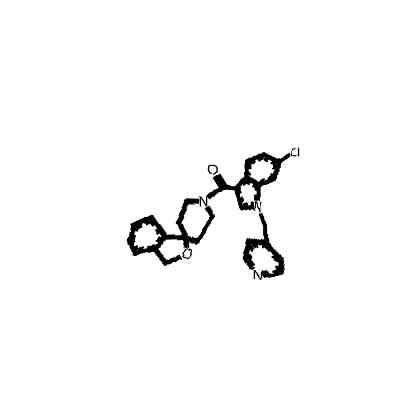 O=C(c1cn(Cc2ccncc2)c2cc(Cl)ccc12)N1CCC2(CC1)OCc1ccccc12